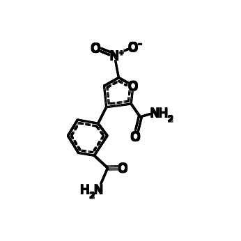 NC(=O)c1cccc(-c2cc([N+](=O)[O-])oc2C(N)=O)c1